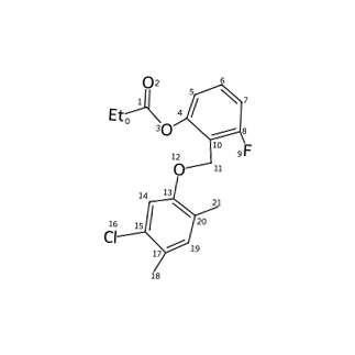 CCC(=O)Oc1cccc(F)c1COc1cc(Cl)c(C)cc1C